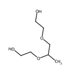 CC(COCCO)OCCO